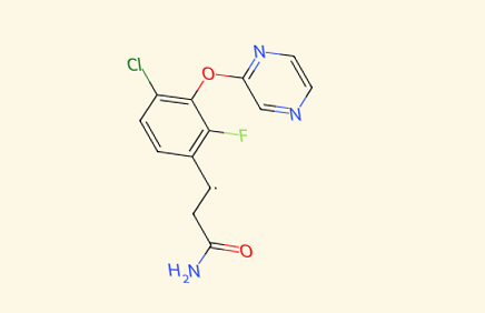 NC(=O)C[CH]c1ccc(Cl)c(Oc2cnccn2)c1F